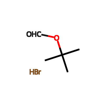 Br.CC(C)(C)OC=O